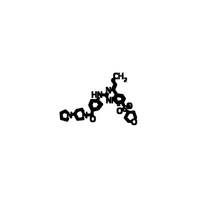 C=C/C=C(\N=C(/N)Nc1ccc(C(=O)N2CCC(N3CCCC3)CC2)cc1)c1ccc(S(=O)(=O)C2CCOCC2)cc1